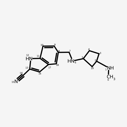 CNC1CCC(NCc2ccc3[nH]c(C#N)cc3c2)C1